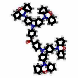 O=C(c1ccc(-n2c3ccc(N4c5ccccc5Oc5ccccc54)cc3c3cc(N4c5ccccc5Oc5ccccc54)ccc32)cc1)c1ccc(-n2c3ccc(N4c5ccccc5Oc5ccccc54)cc3c3cc(N4c5ccccc5Oc5ccccc54)ccc32)cc1